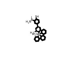 CC1C=C(c2ccc(S)c(N(N)I)c2)C=CC1[SH](C)(c1ccccc1)(c1ccccc1)c1ccccc1